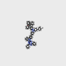 Cc1ccc(-c2ccc(N(c3ccc(-c4ccc5c(c4)c4ccccc4n5-c4nc(-c5ccccc5)nc(-c5ccccc5)n4)cc3)c3ccc4c(c3)-c3ccccc3C4(c3ccccc3)c3ccccc3)cc2)cc1